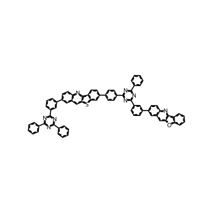 c1ccc(-c2nc(-c3ccc(-c4ccc5c(c4)sc4cc6cc(-c7cccc(-c8nc(-c9ccccc9)nc(-c9ccccc9)n8)c7)ccc6nc45)cc3)nc(-c3cccc(-c4ccc5nc6c(cc5c4)oc4ccccc46)c3)n2)cc1